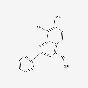 COc1ccc2c(OC(C)(C)C)cc(-c3ccccc3)nc2c1Cl